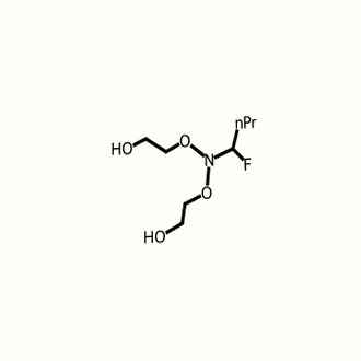 CCCC(F)N(OCCO)OCCO